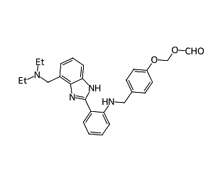 CCN(CC)Cc1cccc2[nH]c(-c3ccccc3NCc3ccc(OCOC=O)cc3)nc12